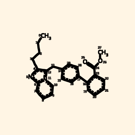 CCCCc1nc2ccccn2c1Cc1ccc(-c2ccccc2C(=O)OC)cc1